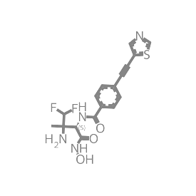 CC(N)(C(F)F)[C@H](NC(=O)c1ccc(C#Cc2cncs2)cc1)C(=O)NO